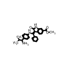 COC(=O)c1ccc2c(c1)NC(=O)/C2=C(\Nc1ccc(C(N)C(C)C)cc1)c1ccccc1